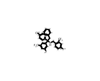 Fc1cc(C(F)(F)F)cc(C(Cc2ccccc2)(NCc2ccc(F)cc2C(F)(F)F)c2ccc(Cl)cn2)c1